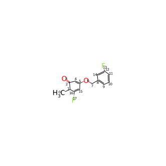 CC1C(=O)C=C(OCc2cccc(F)c2)C=C1F